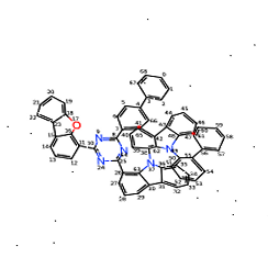 c1ccc(-c2ccc(-c3nc(-c4cccc5c4oc4ccccc45)nc(-c4cccc5c6ccccc6n(-c6cccc7c8ccccc8n(-c8ccccc8-c8ccccc8)c67)c45)n3)cc2)cc1